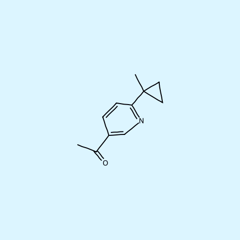 CC(=O)c1ccc(C2(C)CC2)nc1